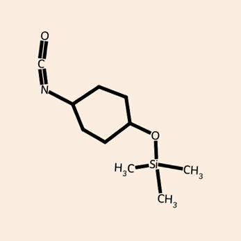 C[Si](C)(C)OC1CCC(N=C=O)CC1